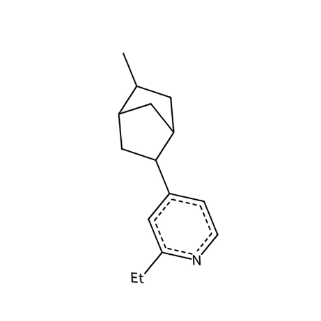 CCc1cc(C2CC3CC2CC3C)ccn1